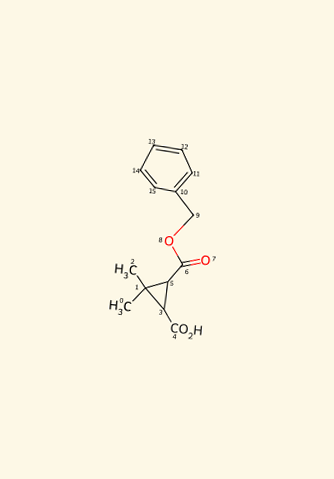 CC1(C)C(C(=O)O)C1C(=O)OCc1ccccc1